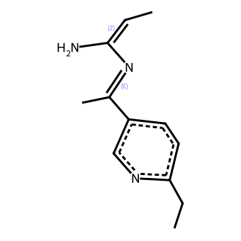 C/C=C(N)\N=C(/C)c1ccc(CC)nc1